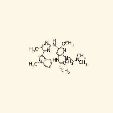 C=CC(=O)Nc1cc(Nc2ncc(C)c(-c3cn(C)c4ccccc34)n2)c(OC)nc1N(C)CCN(C)C